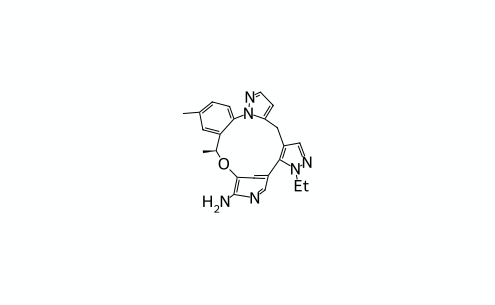 CCn1ncc2c1-c1cnc(N)c(c1)O[C@@H](C)c1cc(C)ccc1-n1nccc1C2